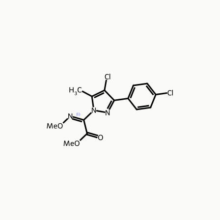 CO/N=C(\C(=O)OC)n1nc(-c2ccc(Cl)cc2)c(Cl)c1C